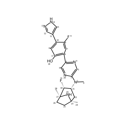 CN(c1cnc(-c2cc(F)c(-c3cn[nH]c3)cc2O)cn1)[C@@H]1C[C@@]2(C)CC[C@](C)(N2)[C@@H]1F